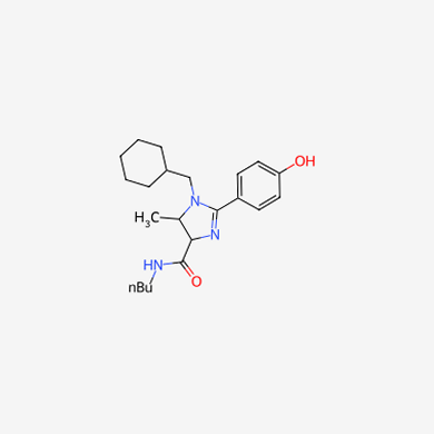 CCCCNC(=O)C1N=C(c2ccc(O)cc2)N(CC2CCCCC2)C1C